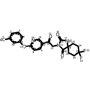 N#Cc1cccc(Oc2ccc(C(=O)CN3C(=O)NC4(CCC(F)(F)CC4)C3=O)cn2)c1